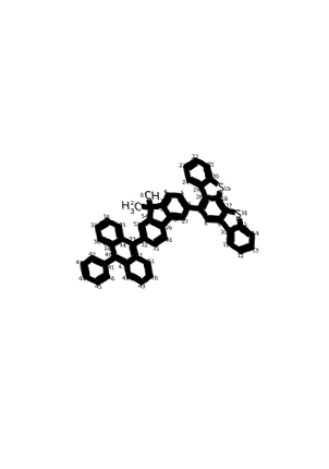 CC1(C)c2ccc(-c3cc4c5ccccc5sc4c4sc5ccccc5c34)cc2-c2ccc(-c3c4ccccc4c(-c4ccccc4)c4ccccc34)cc21